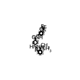 CN(C)c1nc(NC2CCC(C(=O)NCc3cccc(OC(F)(F)F)c3)CC2)nc2ccccc12